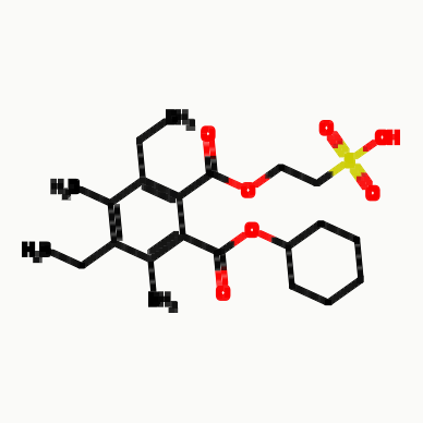 BCc1c(B)c(CB)c(C(=O)OCCS(=O)(=O)O)c(C(=O)OC2CCCCC2)c1B